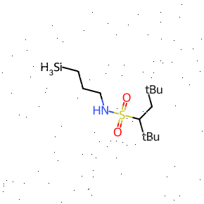 CC(C)(C)CC(C(C)(C)C)S(=O)(=O)NCCC[SiH3]